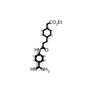 CCOC(=O)CC1CCC(CCC(=O)Nc2ccc(C(=N)N)cc2)CC1